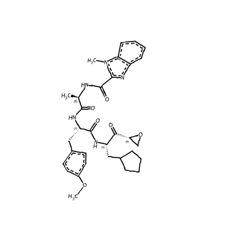 COc1ccc(C[C@H](NC(=O)[C@@H](C)NC(=O)c2nc3ccccc3n2C)C(=O)N[C@@H](CC2CCCC2)C(=O)[C@H]2CO2)cc1